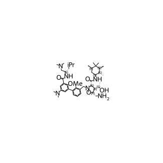 COc1c(CN2O[C@@H](CN)[C@@H]([C@H](C)O)[C@H]2C(=O)N[C@H]2C[C@@H](C)C(C)(C)[C@@H](C)[C@@H]2C)cccc1-c1cc(C(=O)N[C@@H](CC(C)C)CN(C)C)cc(N(C)C)c1